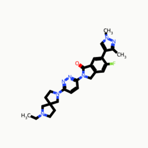 CCN1CCC2(CCN(c3ccc(N4Cc5cc(F)c(-c6cn(C)nc6C)cc5C4=O)nn3)C2)C1